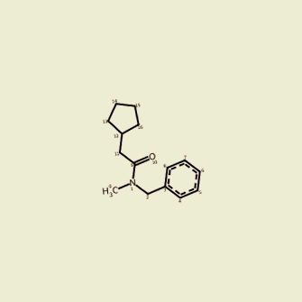 CN(Cc1ccccc1)C(=O)CC1CCCC1